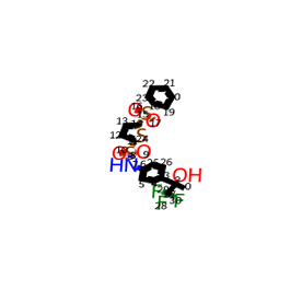 CC(O)(c1ccc(NS(=O)(=O)c2ccc(S(=O)(=O)c3ccccc3)s2)cc1)C(F)(F)F